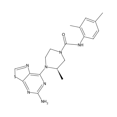 Cc1ccc(NC(=O)N2CCN(c3nc(N)nc4scnc34)[C@H](C)C2)c(C)c1